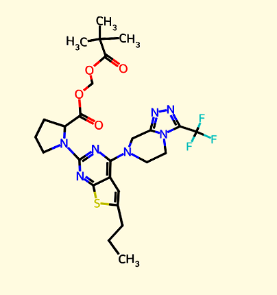 CCCc1cc2c(N3CCn4c(nnc4C(F)(F)F)C3)nc(N3CCCC3C(=O)OCOC(=O)C(C)(C)C)nc2s1